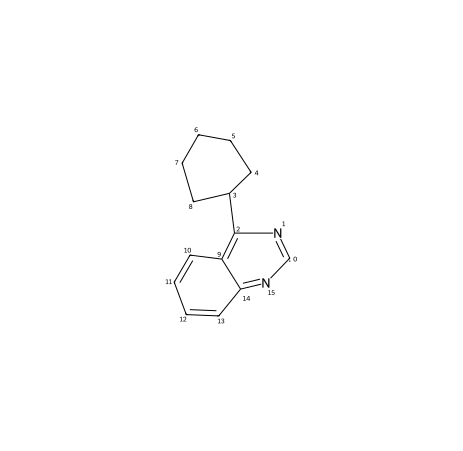 [c]1nc(C2CCCCC2)c2ccccc2n1